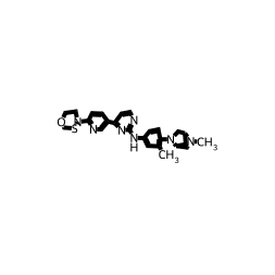 Cc1cc(Nc2nccc(-c3ccc(N4CCOCS4)nc3)n2)ccc1N1CC2CC1CN2C